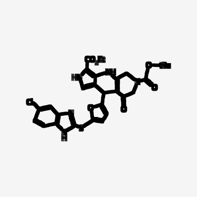 CCOC(=O)c1[nH]cc2c1NC1=C(C(=O)CN(C(=O)OC(C)(C)C)C1)C2c1ccc(Sc2nc3cc(Cl)ccc3[nH]2)o1